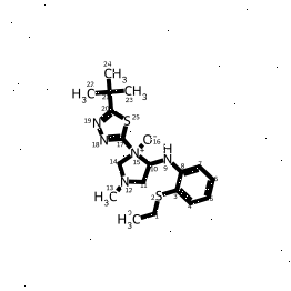 CCSc1ccccc1NC1CN(C)C[N+]1([O-])c1nnc(C(C)(C)C)s1